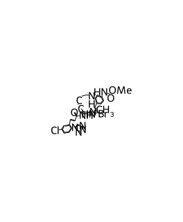 COC(=O)Nc1ccc2c(c1)NCCCCC[C@H](NC(=O)/C=C/c1cc(Cl)ccc1-n1cnnn1)C1=NC2(C)C(Br)N1